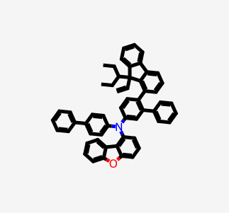 C=CC1(C(CC)CC)c2ccccc2-c2cccc(-c3ccc(N(c4ccc(-c5ccccc5)cc4)c4cccc5oc6ccccc6c45)cc3-c3ccccc3)c21